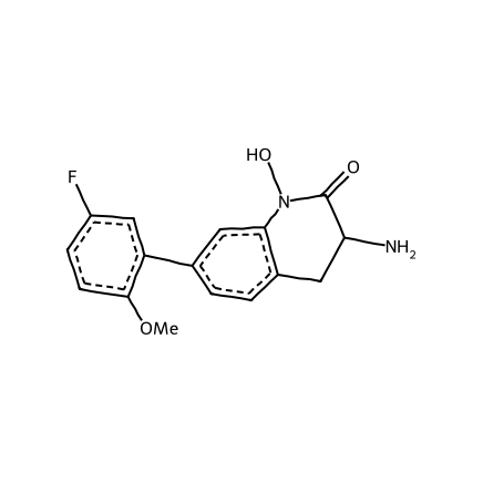 COc1ccc(F)cc1-c1ccc2c(c1)N(O)C(=O)C(N)C2